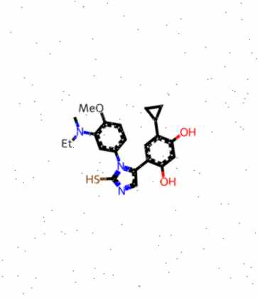 CCN(C)c1cc(-n2c(-c3cc(C4CC4)c(O)cc3O)cnc2S)ccc1OC